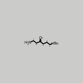 CC(C)(C)CCCC(=O)CCN